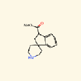 COC(=O)C1CC2(CCNCC2)c2ccccc21